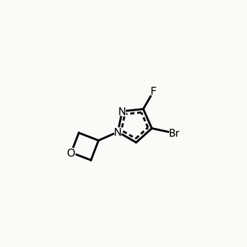 Fc1nn(C2COC2)cc1Br